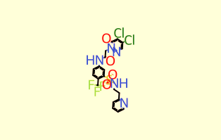 O=C(Cn1ncc(Cl)c(Cl)c1=O)Nc1ccc(C(F)(F)F)c(S(=O)(=O)NCCc2ccccn2)c1